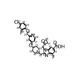 O=C(O)c1cc(F)c2nc(CN3CCC(Oc4ccnc(COc5ccc(Cl)cc5F)c4)CC3)n(C[C@@H]3CCO3)c2c1